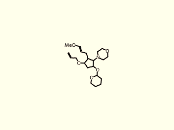 C=CCOC1CC(OC2CCCCO2)C(N2CCOCC2)C1CC=COC